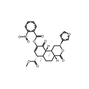 COC(=O)[C@@H]1C=C(OC(=O)c2ccccc2[N+](=O)[O-])C(=O)[C@H]2[C@@]1(C)CC[C@H]1C(=O)O[C@H](c3ccoc3)C[C@]21C